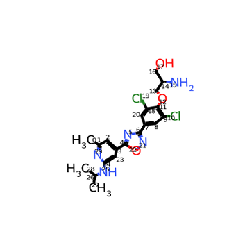 Cc1cc(-c2nc(-c3cc(Cl)c(OC[C@H](N)CO)c(Cl)c3)no2)cc(NC(C)C)n1